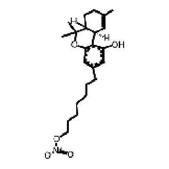 CC1=C[C@H]2c3c(O)cc(CCCCCCCO[N+](=O)[O-])cc3OC(C)(C)[C@@H]2CC1